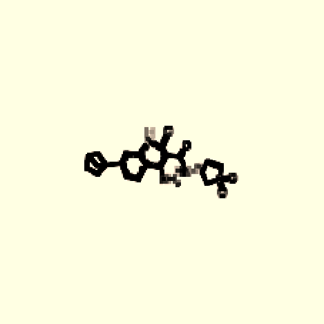 Nc1c(C(=O)N[C@@H]2C=CS(=O)(=O)C2)c(=O)[nH]c2cc(C34CCC(C3)C4)ccc12